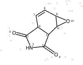 O=C1NC(=O)C2C1C=CC1OC12